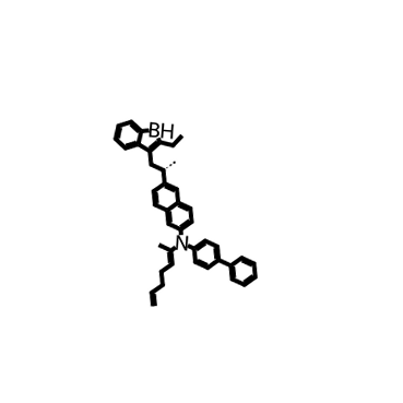 C=CCC/C=C(\C)N(c1ccc(-c2ccccc2)cc1)c1ccc2cc([C@@H](C)CC3=C(CC)Bc4ccccc43)ccc2c1